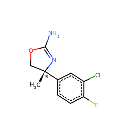 C[C@@]1(c2ccc(F)c(Cl)c2)COC(N)=N1